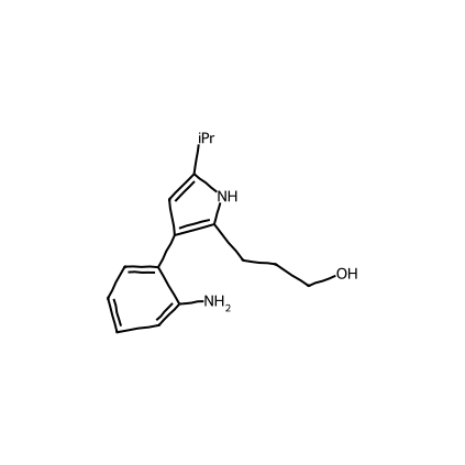 CC(C)c1cc(-c2ccccc2N)c(CCCO)[nH]1